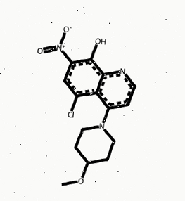 COC1CCN(c2ccnc3c(O)c([N+](=O)[O-])cc(Cl)c23)CC1